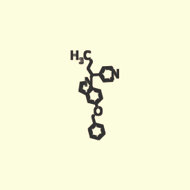 CCCC(c1ccncc1)n1ccc2cc(OCc3ccccc3)ccc21